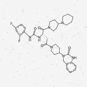 O=C(Nc1ccc(F)cc1F)N[C@@H](CC(=O)N1CCC(N2Cc3ccccc3NC2=O)CC1)C(=O)N1CCC(N2CCCCC2)CC1